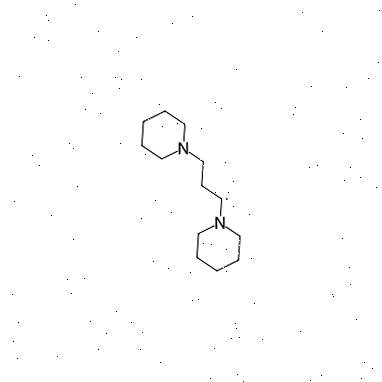 [CH](CCN1CCCCC1)N1CCCCC1